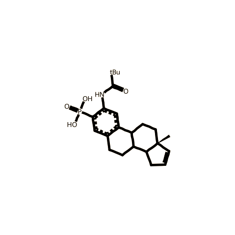 CC(C)(C)C(=O)Nc1cc2c(cc1P(=O)(O)O)CCC1C2CC[C@]2(C)C=CCC12